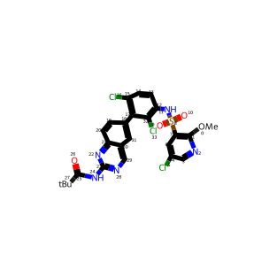 COc1ncc(Cl)cc1S(=O)(=O)Nc1ccc(Cl)c(-c2ccc3nc(NC(=O)C(C)(C)C)ncc3c2)c1Cl